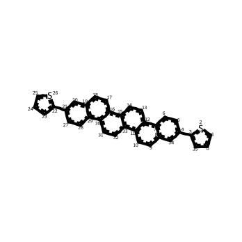 c1csc(-c2ccc3c(ccc4c3ccc3c5ccc6cc(-c7cccs7)ccc6c5ccc43)c2)c1